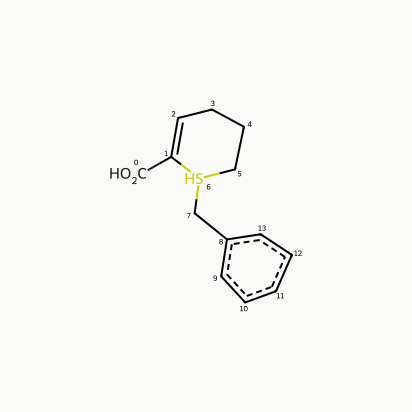 O=C(O)C1=CCCC[SH]1Cc1ccccc1